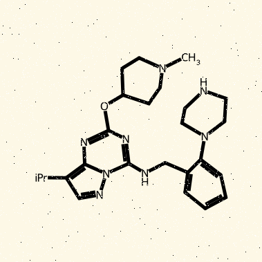 CC(C)c1cnn2c(NCc3ccccc3N3CCNCC3)nc(OC3CCN(C)CC3)nc12